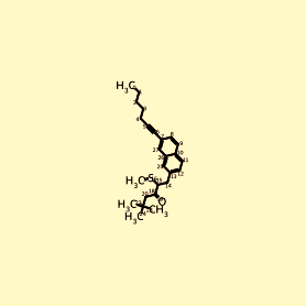 CCCCCC#Cc1ccc2ccc(CC(SC)C(=O)CC(C)(C)C)cc2c1